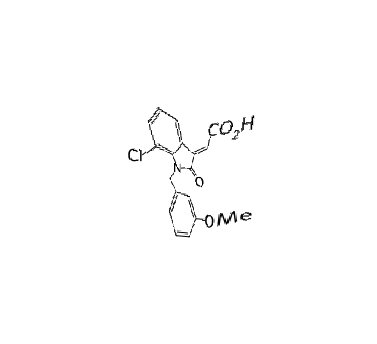 COc1cccc(CN2C(=O)/C(=C/C(=O)O)c3cccc(Cl)c32)c1